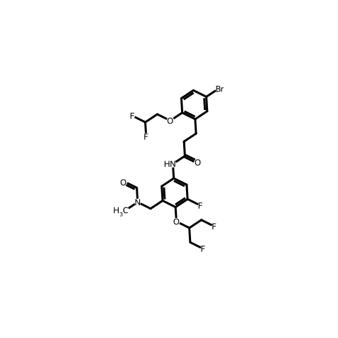 CN(C=O)Cc1cc(NC(=O)CCc2cc(Br)ccc2OCC(F)F)cc(F)c1OC(CF)CF